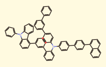 c1ccc(-c2cccc(-c3ccc(N(c4ccc(-c5ccc(-c6cccc7ccccc67)cc5)cc4)c4ccccc4-c4cccc(-c5cccc6c5c5ccccc5n6-c5ccccc5)c4)cc3)c2)cc1